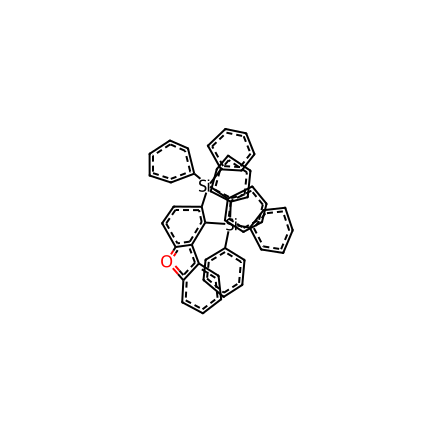 c1ccc([Si](c2ccccc2)(c2ccccc2)c2ccc3oc4ccccc4c3c2[Si](c2ccccc2)(c2ccccc2)c2ccccc2)cc1